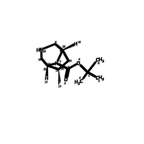 CC(C)(C)OC(=O)N1[C@@H]2CNC[C@H]1[C@@H](F)C2